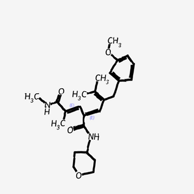 CNC(=O)/C(C)=C/C(=C\C(Cc1cccc(OC)c1)=C(C)C)C(=O)NC1CCOCC1